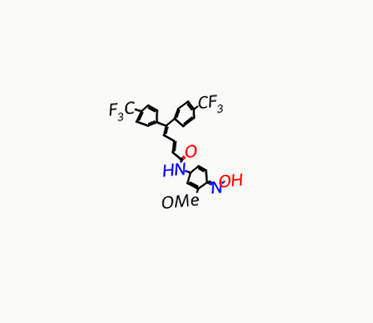 COC1=CC(NC(=O)/C=C/C=C(c2ccc(C(F)(F)F)cc2)c2ccc(C(F)(F)F)cc2)C=C/C1=N\O